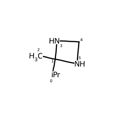 CC(C)C1(C)NCN1